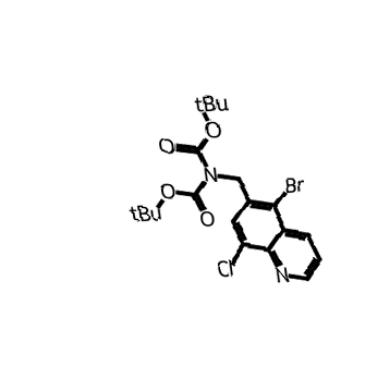 CC(C)(C)OC(=O)N(Cc1cc(Cl)c2ncccc2c1Br)C(=O)OC(C)(C)C